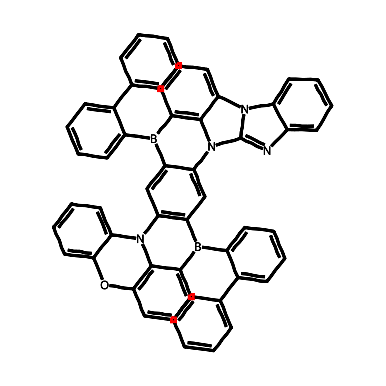 c1ccc(-c2ccccc2B2c3cc4c(cc3N3c5ccccc5Oc5cccc2c53)B(c2ccccc2-c2ccccc2)c2cccc3c2n-4c2nc4ccccc4n32)cc1